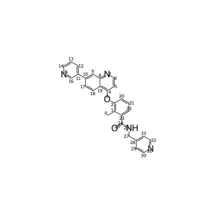 Cc1c(Oc2ccnc3cc(-c4cccnc4)ccc23)cccc1C(=O)NCc1ccncc1